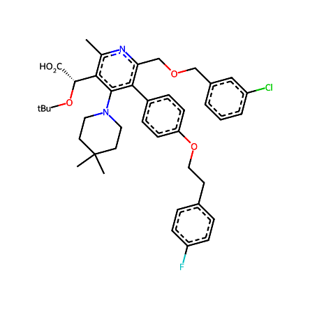 Cc1nc(COCc2cccc(Cl)c2)c(-c2ccc(OCCc3ccc(F)cc3)cc2)c(N2CCC(C)(C)CC2)c1[C@H](OC(C)(C)C)C(=O)O